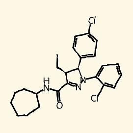 CC[C@@H]1C(C(=O)NC2CCCCCC2)=NN(c2ccccc2Cl)[C@@H]1c1ccc(Cl)cc1